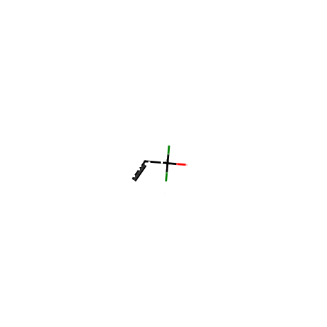 C=CC([O])(Cl)Cl